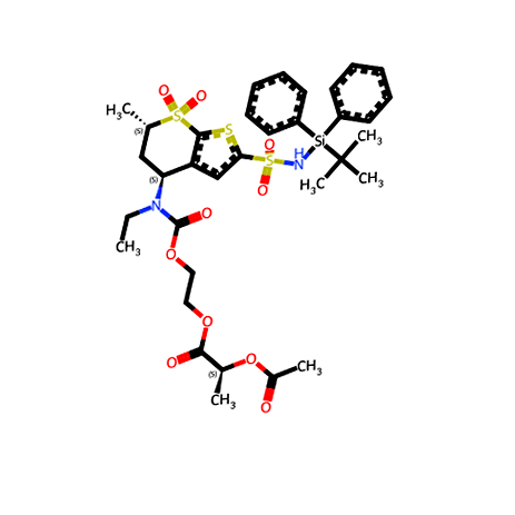 CCN(C(=O)OCCOC(=O)[C@H](C)OC(C)=O)[C@H]1C[C@H](C)S(=O)(=O)c2sc(S(=O)(=O)N[Si](c3ccccc3)(c3ccccc3)C(C)(C)C)cc21